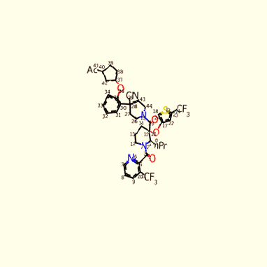 CCC[C@H]1N(C(=O)c2ncccc2C(F)(F)F)CCC[C@@]1(Oc1csc(C(F)(F)F)c1)C(=O)N1CCC(C#N)(c2ccccc2O[C@@H]2CC[C@H](C(C)=O)C2)CC1